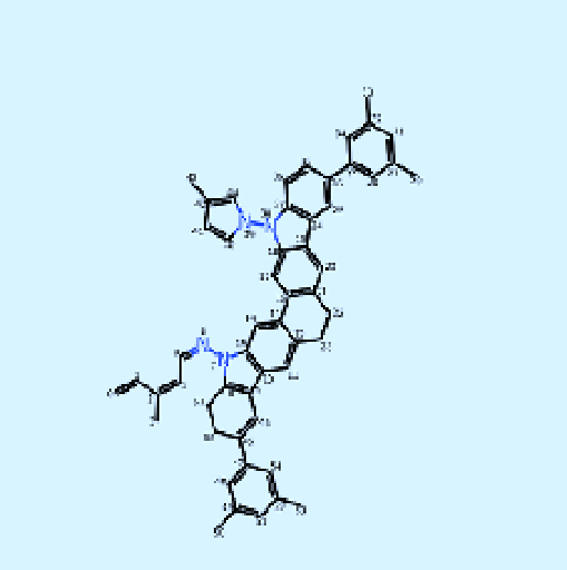 C=C/C(C)=C\C=N/n1c2c(c3cc4c(cc31)-c1cc3c(cc1CC4)c1cc(-c4cc(C)cc(C)c4)ccc1n3-n1ccc(C)c1)C=C(c1cc(C)cc(C)c1)CC2